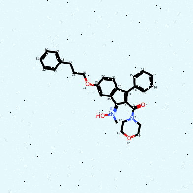 C/[N+](O)=C1\C(C(=O)N2CCOCC2)=C(c2ccccc2)c2ccc(OCCCc3ccccc3)cc21